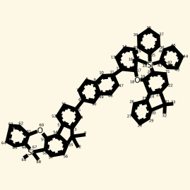 CC1(C)c2cc(-c3ccc4cc(-c5cccc6c5Oc5c(ccc7c5-c5ccccc5C7(C)C)[Si]6(c5ccccc5)c5ccccc5)ccc4c3)ccc2-c2c1ccc1c2Oc2ccccc2[Si]1(C)C